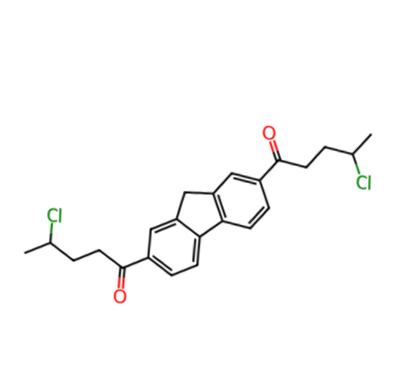 CC(Cl)CCC(=O)c1ccc2c(c1)Cc1cc(C(=O)CCC(C)Cl)ccc1-2